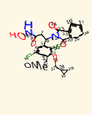 COc1c(F)cc(C(CC(=O)NO)N2C(=O)c3ccccc3C2=O)c(F)c1OCC1CC1